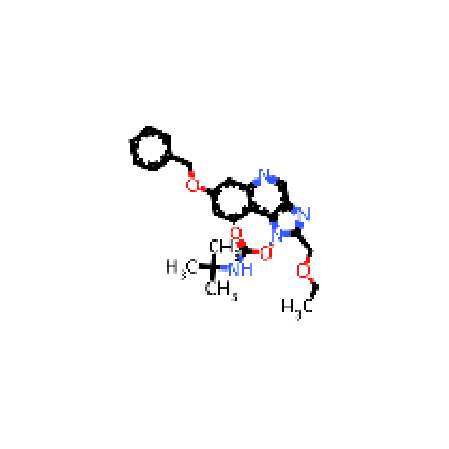 CCOCc1nc2cnc3cc(OCc4ccccc4)ccc3c2n1OC(=O)NC(C)(C)C